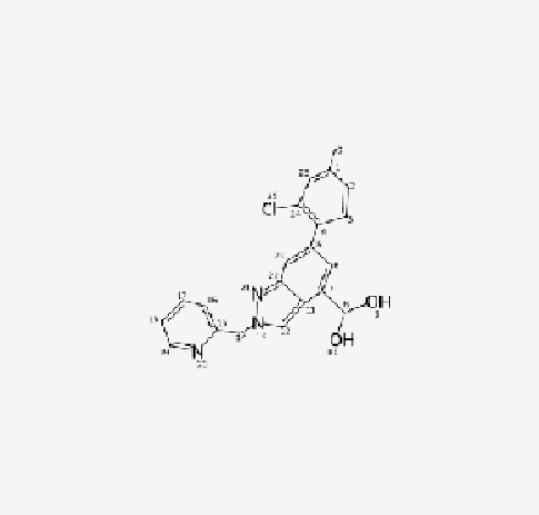 Cc1ccc(-c2cc(C(O)O)c3cn(Cc4ccccn4)nc3c2)c(Cl)c1